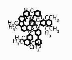 Cc1ccccc1N(c1cc2c3c(c1)N(c1cc4c(cc1C)C(C)(C)CCC4(C)C)c1ccc(-c4ccccc4)cc1B3N(c1ccc3c(c1)C(C)(C)CCC3(C)C)c1ccc3c(c1-2)-c1ccccc1C3(C)C)c1ccccc1C